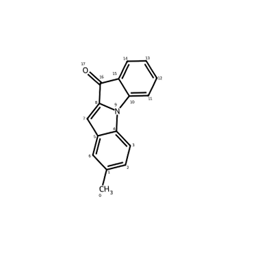 Cc1ccc2c(c1)cc1n2-c2ccccc2C1=O